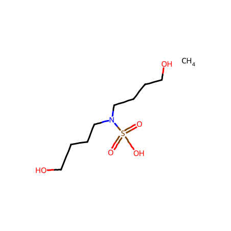 C.O=S(=O)(O)N(CCCCO)CCCCO